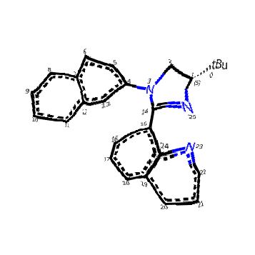 CC(C)(C)[C@H]1CN(c2ccc3ccccc3c2)C(c2cccc3cccnc23)=N1